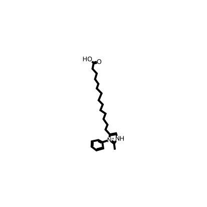 Cc1[nH]cc(CCCCCCCCCCCCCC(=O)O)[n+]1-c1ccccc1